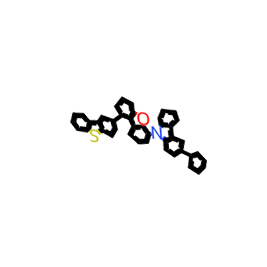 c1ccc(-c2ccc3c(c2)c2ccccc2n3-c2cccc3c2oc2cccc(-c4ccc5sc6ccccc6c5c4)c23)cc1